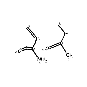 C=CC(N)=O.CCC(=O)O